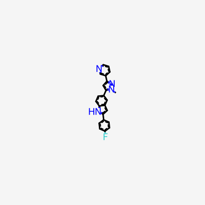 Cn1nc(-c2cccnc2)cc1-c1ccc2[nH]c(-c3ccc(F)cc3)cc2c1